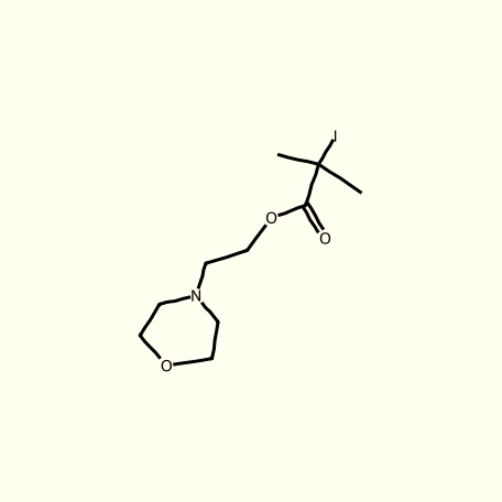 CC(C)(I)C(=O)OCCN1CCOCC1